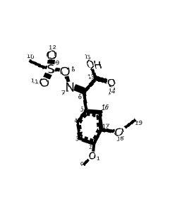 COc1ccc(C(=NOS(C)(=O)=O)C(=O)O)cc1OC